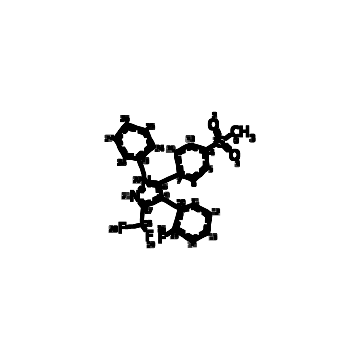 CS(=O)(=O)c1ccc(-c2c(-c3ccccc3F)c(C(F)F)nn2-c2ccccc2)cc1